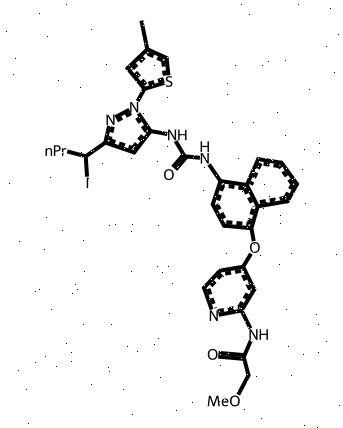 CCCC(I)c1cc(NC(=O)Nc2ccc(Oc3ccnc(NC(=O)COC)c3)c3ccccc23)n(-c2cc(C)cs2)n1